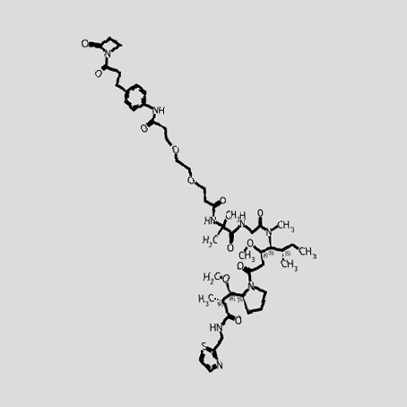 CC[C@H](C)[C@@H]([C@@H](CC(=O)N1CCC[C@H]1[C@H](OC)[C@@H](C)C(=O)NCc1nccs1)OC)N(C)C(=O)CNC(=O)C(C)(C)NC(=O)CCOCCOCCC(=O)Nc1ccc(CCC(=O)N2CCC2=O)cc1